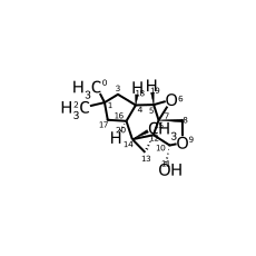 CC1(C)C[C@@H]2[C@@H]3O[C@@]34CO[C@H](O)[C@]43C[C@]3(C)[C@H]2C1